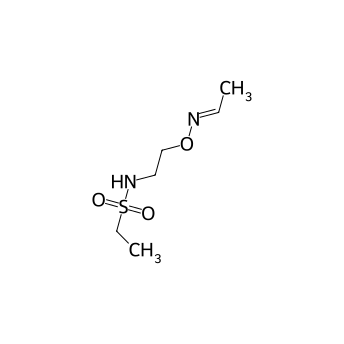 CC=NOCCNS(=O)(=O)CC